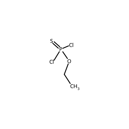 CCOP(=S)(Cl)Cl